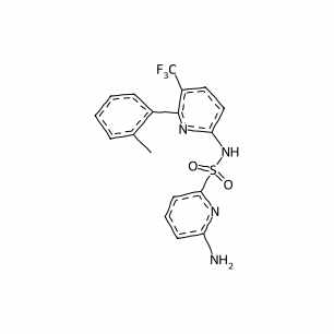 Cc1ccccc1-c1nc(NS(=O)(=O)c2cccc(N)n2)ccc1C(F)(F)F